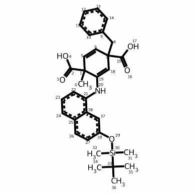 CC1(C(=O)O)C=CC(Cc2ccccc2)(C(=O)O)C=C1Nc1cccc2ccc(O[Si](C)(C)C(C)(C)C)cc12